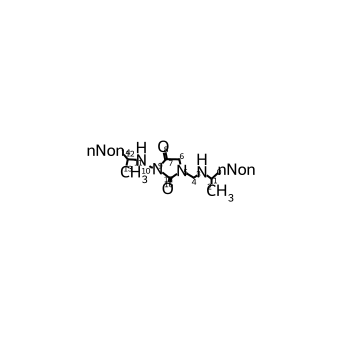 CCCCCCCCCC(C)NCN1CC(=O)N(CNC(C)CCCCCCCCC)C1=O